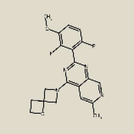 COc1ccc(F)c(-c2nc(N3CC4(CCO4)C3)c3cc(C)ncc3n2)c1F